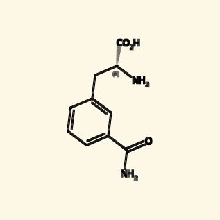 NC(=O)c1cccc(C[C@@H](N)C(=O)O)c1